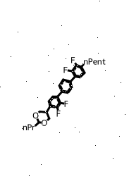 CCCCCc1ccc(-c2ccc(-c3ccc(C4COC(CCC)OC4)c(F)c3F)cc2)c(F)c1F